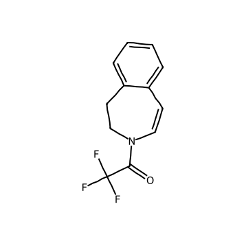 O=C(N1C=Cc2ccccc2CC1)C(F)(F)F